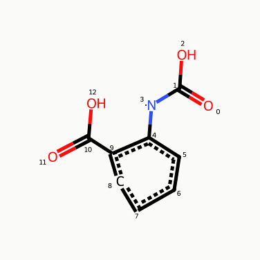 O=C(O)[N]c1ccccc1C(=O)O